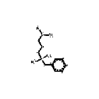 CCN(C)CCC[N+](C)(C)Cc1ccccc1